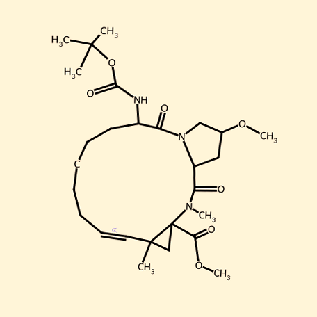 COC(=O)C12CC1(C)/C=C\CCCCCC(NC(=O)OC(C)(C)C)C(=O)N1CC(OC)CC1C(=O)N2C